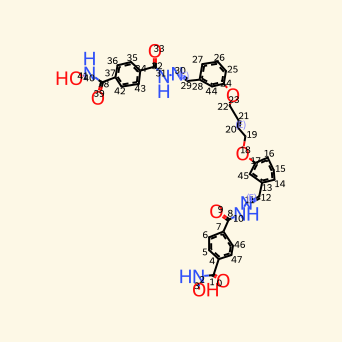 O=C(NO)c1ccc(C(=O)N/N=C/c2cccc(OC/C=C/COc3cccc(/C=N/NC(=O)c4ccc(C(=O)NO)cc4)c3)c2)cc1